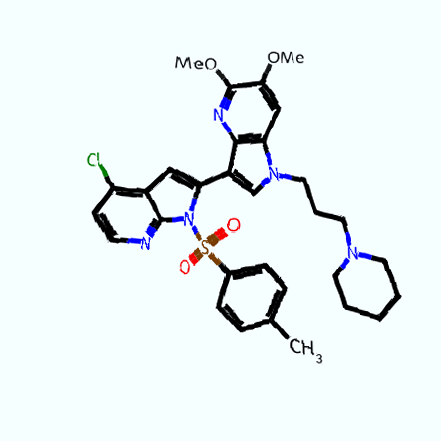 COc1cc2c(nc1OC)c(-c1cc3c(Cl)ccnc3n1S(=O)(=O)c1ccc(C)cc1)cn2CCCN1CCCCC1